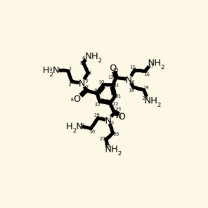 NCCN(CCN)C(=O)c1cc(C(=O)N(CCN)CCN)cc(C(=O)N(CCN)CCN)c1